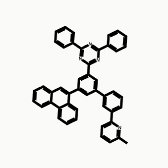 Cc1cccc(-c2cccc(-c3cc(-c4nc(-c5ccccc5)nc(-c5ccccc5)n4)cc(-c4cc5ccccc5c5ccccc45)c3)c2)n1